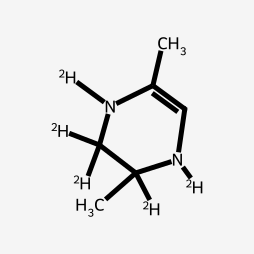 [2H]N1C(C)=CN([2H])C([2H])(C)C1([2H])[2H]